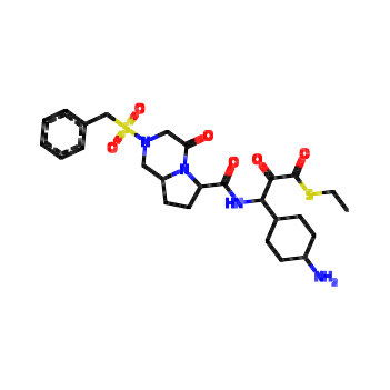 CCSC(=O)C(=O)C(NC(=O)C1CCC2CN(S(=O)(=O)Cc3ccccc3)CC(=O)N21)C1CCC(N)CC1